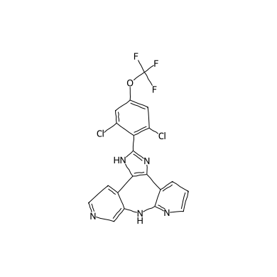 FC(F)(F)Oc1cc(Cl)c(-c2nc3c([nH]2)-c2ccncc2Nc2ncccc2-3)c(Cl)c1